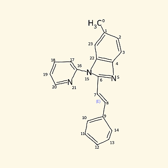 Cc1ccc2nc(/C=C/c3ccccc3)n(-c3ccccn3)c2c1